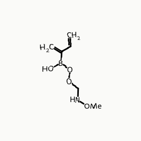 C=CC(=C)B(O)OOCNOC